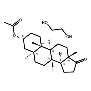 CC(=O)O[C@@H]1CC[C@@]2(C)[C@@H](CC[C@@H]3[C@@H]2CC[C@]2(C)C(=O)CC[C@@H]32)C1.OCCO